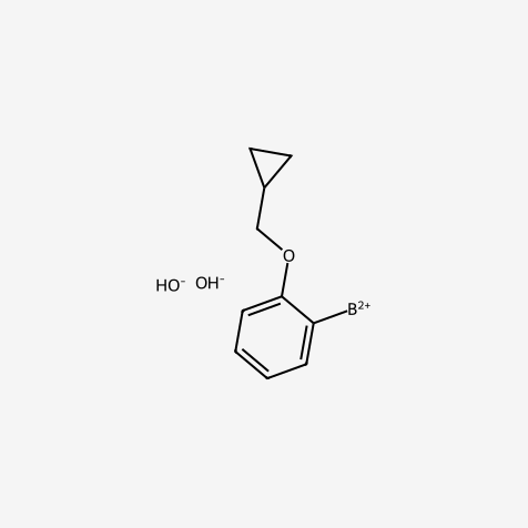 [B+2]c1ccccc1OCC1CC1.[OH-].[OH-]